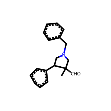 CC1(C=O)CN(Cc2ccccc2)CC1c1ccccc1